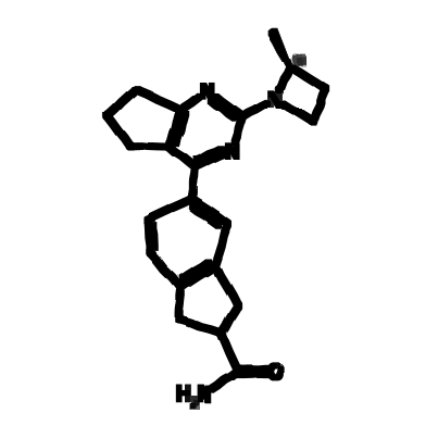 C[C@H]1CCN1c1nc2c(c(-c3ccc4c(c3)CC(C(N)=O)C4)n1)CCC2